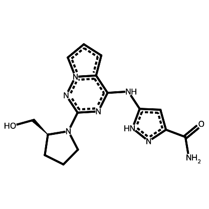 NC(=O)c1cc(Nc2nc(N3CCC[C@H]3CO)nn3cccc23)[nH]n1